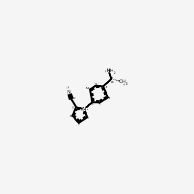 C[C@@H](N)c1ccc(-n2cccc2C#N)cc1